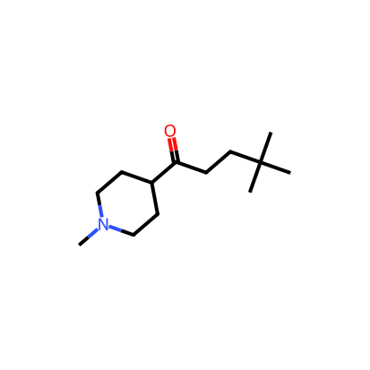 CN1CCC(C(=O)CCC(C)(C)C)CC1